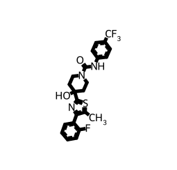 Cc1sc(C2(O)CCN(C(=O)Nc3ccc(C(F)(F)F)cc3)CC2)nc1-c1ccccc1F